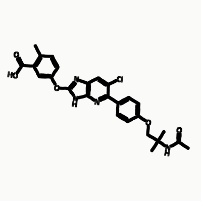 CC(=O)NC(C)(C)COc1ccc(-c2nc3[nH]c(Oc4ccc(C)c(C(=O)O)c4)nc3cc2Cl)cc1